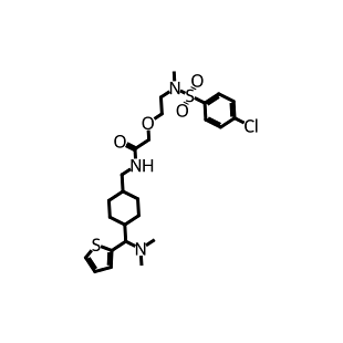 CN(C)C(c1cccs1)C1CCC(CNC(=O)COCCN(C)S(=O)(=O)c2ccc(Cl)cc2)CC1